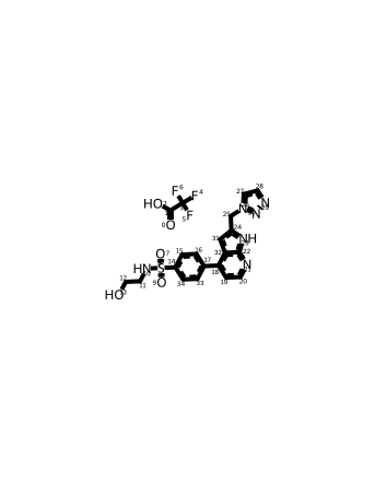 O=C(O)C(F)(F)F.O=S(=O)(NCCO)c1ccc(-c2ccnc3[nH]c(Cn4ccnn4)cc23)cc1